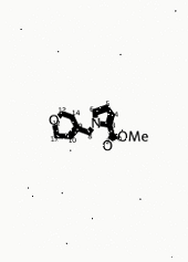 COC(=O)c1cccn1CC1=CCOCC1